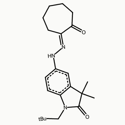 CC(C)(C)CN1C(=O)C(C)(C)c2cc(N/N=C3\CCCCCC3=O)ccc21